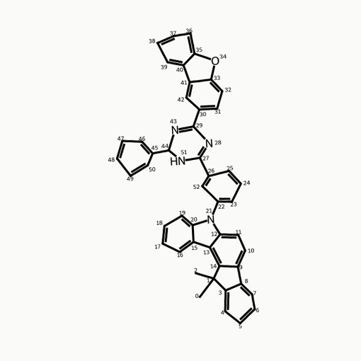 CC1(C)c2ccccc2-c2ccc3c(c21)c1ccccc1n3-c1cccc(C2=NC(c3ccc4oc5ccccc5c4c3)=NC(c3ccccc3)N2)c1